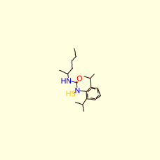 CCCCC(C)NC(=O)N(S)c1c(C(C)C)cccc1C(C)C